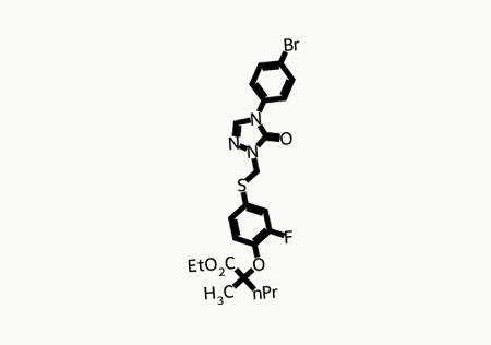 CCCC(C)(Oc1ccc(SCn2ncn(-c3ccc(Br)cc3)c2=O)cc1F)C(=O)OCC